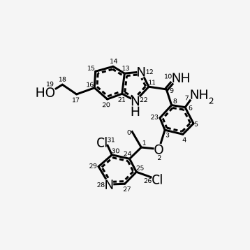 CC(Oc1ccc(N)c(C(=N)c2nc3ccc(CCO)cc3[nH]2)c1)c1c(Cl)cncc1Cl